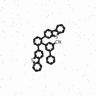 N#Cc1cc(-c2ccccc2)cc(-c2c(-c3ccc4c(c3)sc3ccccc34)cccc2-c2ccc3c(c2)sc2ccccc23)c1